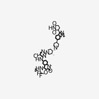 C[C@@H]1CN(c2ncc(Cl)c(Nc3ccc4c(c3)c3c(c(=O)n4C)OCC(F)(F)[C@H](C4CC4)N3)n2)CC[C@@H]1CN1CCC(c2ccc3c(C4CCC(=O)NC4=O)nn(C)c3c2)CC1